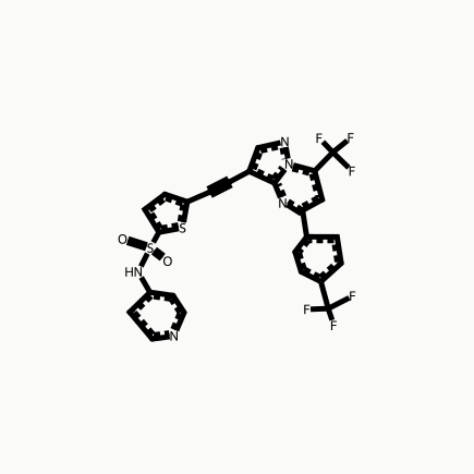 O=S(=O)(Nc1ccncc1)c1ccc(C#Cc2cnn3c(C(F)(F)F)cc(-c4ccc(C(F)(F)F)cc4)nc23)s1